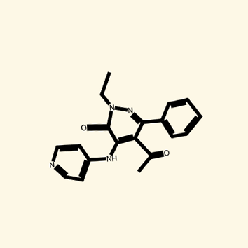 CCn1nc(-c2ccccc2)c(C(C)=O)c(Nc2ccncc2)c1=O